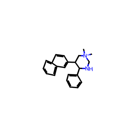 C[N+]1(C)CNC(c2ccccc2)C(c2ccc3ccccc3c2)C1